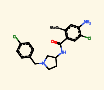 COc1cc(N)c(Cl)cc1C(=O)NC1CCN(Cc2ccc(Cl)cc2)C1